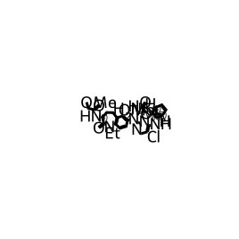 CCN1C(=O)[C@@H](NC(=O)COC)CCc2c1ccc(Nc1ncc(Cl)c(N[C@H]3[C@@H](OC(N)=O)[C@@H]4C=C[C@H]3C4)n1)c2OC